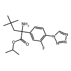 CC(C)OC(=O)C(N)(CC(C)(C)C)c1ccc(-n2cnnn2)c(F)c1